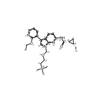 CCOc1ncccc1-c1cn(COCC[Si](C)(C)C)c2nc(NC(=O)[C@@H]3C[C@@H]3F)ccc12